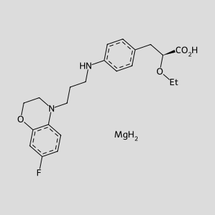 CCO[C@@H](Cc1ccc(NCCCN2CCOc3cc(F)ccc32)cc1)C(=O)O.[MgH2]